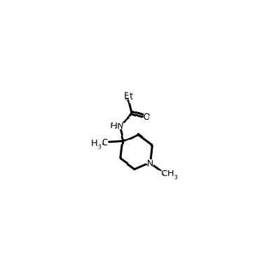 CCC(=O)NC1(C)CCN(C)CC1